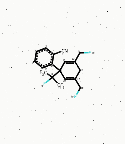 N#Cc1ccccc1C1(C(F)(C(F)(F)F)C(F)(F)F)C=C(CF)[CH]C(CF)=C1